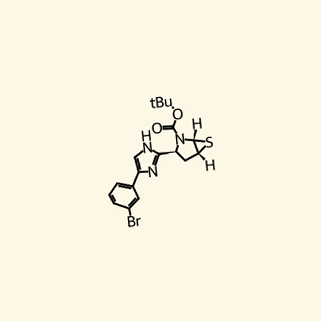 CC(C)(C)OC(=O)N1[C@@H]2S[C@@H]2C[C@H]1c1nc(-c2cccc(Br)c2)c[nH]1